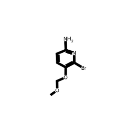 COCOc1ccc(N)nc1Br